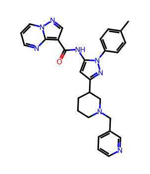 Cc1ccc(-n2nc(C3CCCN(Cc4cccnc4)C3)cc2NC(=O)c2cnn3cccnc23)cc1